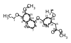 CCOc1cc2nccc(Oc3cnc(CC(=O)OC)c(OC)c3)c2cc1OC